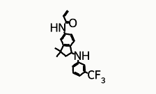 C=CC(=O)Nc1ccc2c(c1)C(C)(C)CC2Nc1cccc(C(F)(F)F)c1